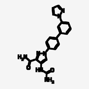 NC(=O)Nc1cn(-c2ccc(-c3cccc(-n4cccn4)c3)cc2)nc1C(N)=O